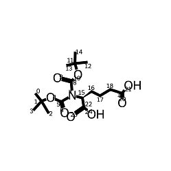 CC(C)(C)OC(=O)N(C(=O)OC(C)(C)C)[C@@H](CCCC(=O)O)C(=O)O